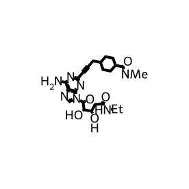 CCNC(=O)C1OC(n2cnc3c(N)nc(C#CCC4CCC(C(=O)NC)CC4)nc32)C(O)C1O